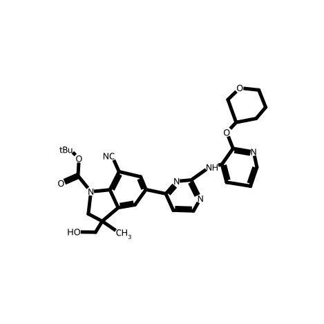 CC(C)(C)OC(=O)N1CC(C)(CO)c2cc(-c3ccnc(Nc4cccnc4OC4CCCOC4)n3)cc(C#N)c21